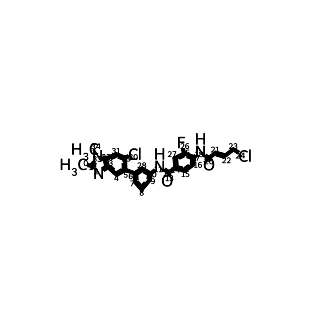 Cc1nc2cc(-c3cccc(NC(=O)c4ccc(NC(=O)/C=C/CCl)c(F)c4)c3)c(Cl)cc2n1C